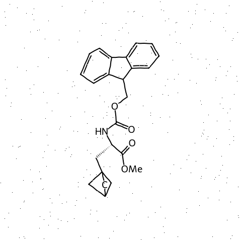 COC(=O)[C@H](CC12CC(C1)C2)NC(=O)OCC1c2ccccc2-c2ccccc21